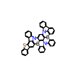 c1ccc2c(c1)B1c3c(cc4c5c3N2c2ccccc2B5c2cc3c5ccccc5sc3c3c5ccccc5n-4c23)-n2c3ccccc3c3cccc1c32